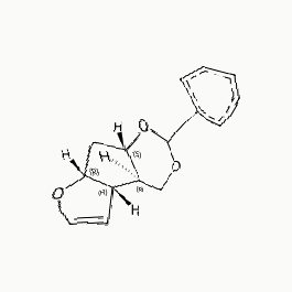 C1=C[C@H]2[C@@H]3COC(c4ccccc4)O[C@H]3C[C@H]2O1